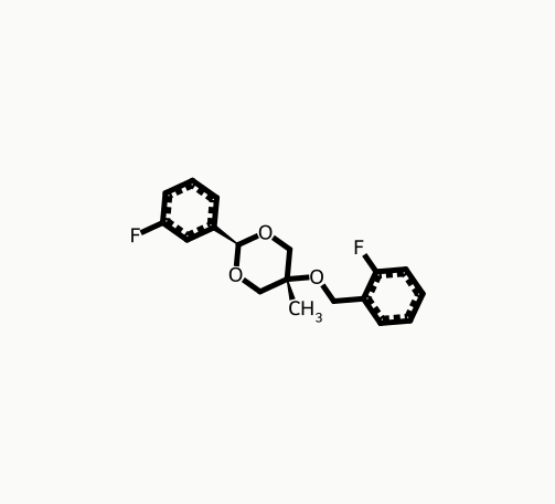 C[C@]1(OCc2ccccc2F)CO[C@H](c2cccc(F)c2)OC1